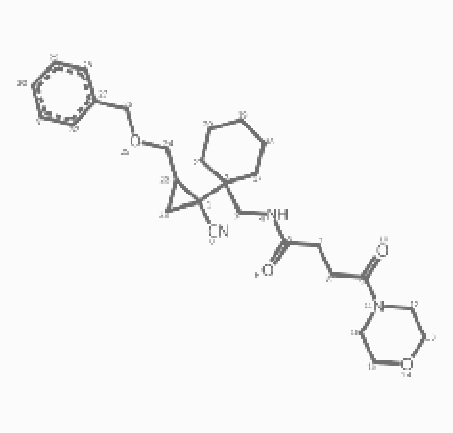 N#CC1(C2(CNC(=O)CCC(=O)N3CCOCC3)CCCCC2)CC1COCc1ccccc1